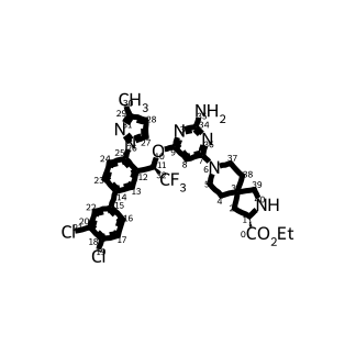 CCOC(=O)[C@@H]1CC2(CCN(c3cc(O[C@H](c4cc(-c5ccc(Cl)c(Cl)c5)ccc4-n4ccc(C)n4)C(F)(F)F)nc(N)n3)CC2)CN1